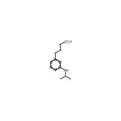 CN(C)Nc1cccc(CCCC(=O)O)c1